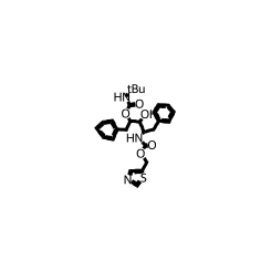 CC(C)(C)NC(=O)OC(Cc1ccccc1)C(O)C(Cc1ccccc1)NC(=O)OCc1cncs1